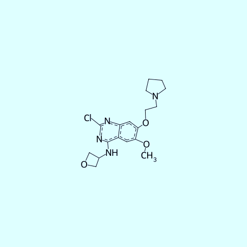 COc1cc2c(NC3COC3)nc(Cl)nc2cc1OCCN1CCCC1